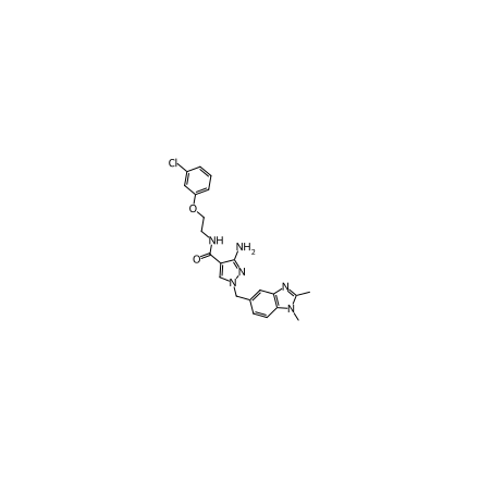 Cc1nc2cc(Cn3cc(C(=O)NCCOc4cccc(Cl)c4)c(N)n3)ccc2n1C